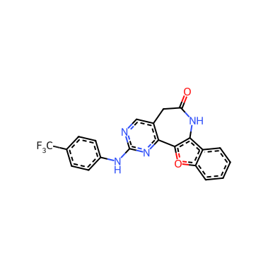 O=C1Cc2cnc(Nc3ccc(C(F)(F)F)cc3)nc2-c2oc3ccccc3c2N1